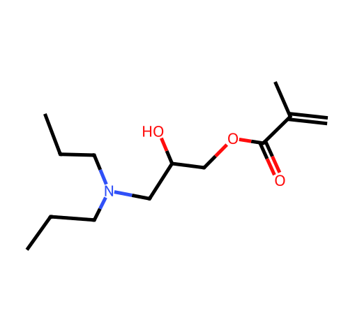 C=C(C)C(=O)OCC(O)CN(CCC)CCC